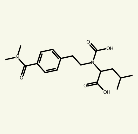 CC(C)CC(C(=O)O)N(CCc1ccc(C(=O)N(C)C)cc1)C(=O)O